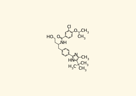 Cc1nc(-c2ccc(CC(CCO)NC(=O)c3ccc(OC(C)C)c(Cl)c3)cc2)[nH]c1C(C)(C)C